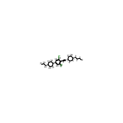 CCCC[C@H]1CC[C@H](C#Cc2c(F)cc([C@H]3CC[C@H](CCC)CC3)cc2F)CC1